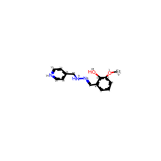 CCOc1cccc(C=NNCc2ccncc2)c1O